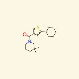 CC1(C)CCCN(C(=O)c2csc(C3CCCCC3)c2)C1